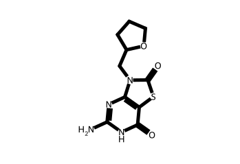 Nc1nc2c(sc(=O)n2CC2CCCO2)c(=O)[nH]1